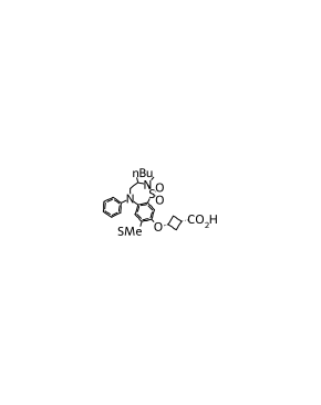 CCCCC1CN(c2ccccc2)c2cc(SC)c(O[C@H]3C[C@@H](C(=O)O)C3)cc2S(=O)(=O)N1C